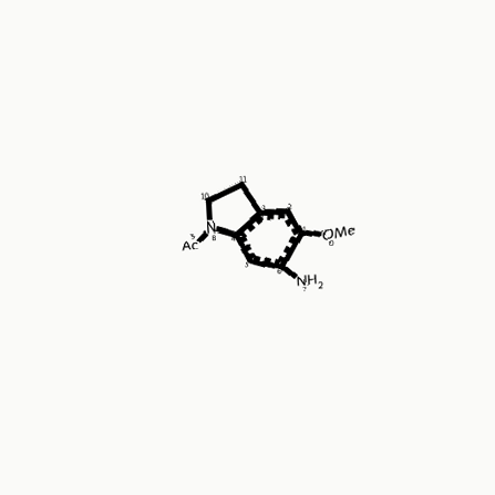 COc1cc2c(cc1N)N(C(C)=O)CC2